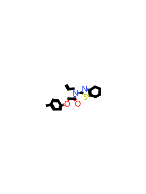 C=CCN(C(=O)COc1ccc(C)cc1)c1nc2c(s1)CCCC2